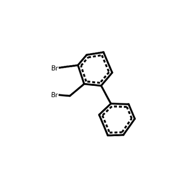 BrCc1c(Br)cccc1-c1ccccc1